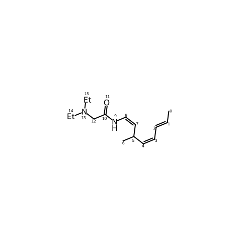 C/C=C/C=C\C(C)/C=C\NC(=O)CN(CC)CC